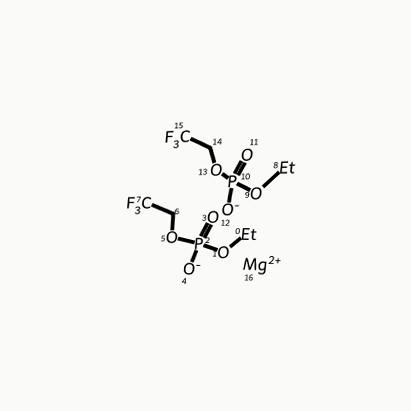 CCOP(=O)([O-])OCC(F)(F)F.CCOP(=O)([O-])OCC(F)(F)F.[Mg+2]